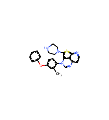 Cc1cc(Oc2ccccc2)ccc1N1C=Nc2ccnc3sc(N4CCNCC4)c1c23